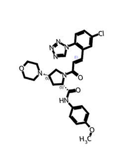 COc1ccc(NC(=O)[C@@H]2C[C@H](N3CCOCC3)CN2C(=O)/C=C/c2cc(Cl)ccc2-n2cnnn2)cc1